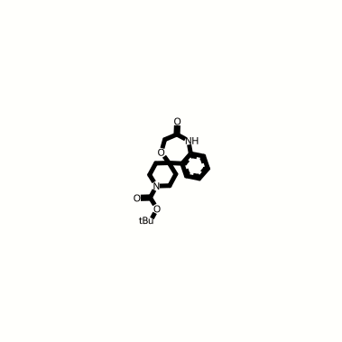 CC(C)(C)OC(=O)N1CCC2(CC1)OCC(=O)Nc1ccccc12